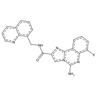 Nc1nc2c(F)cccc2c2nc(C(=O)NCc3cccc4cccnc34)cn12